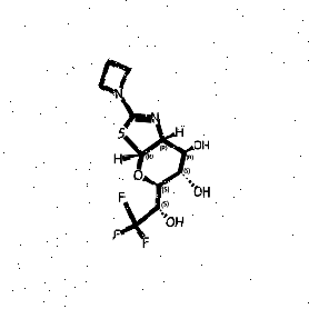 O[C@H]1[C@H](O)[C@@H]([C@H](O)C(F)(F)F)O[C@@H]2SC(N3CCC3)=N[C@H]12